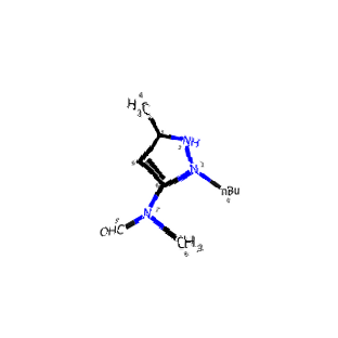 CCCCN1NC(C)C=C1N(C)C=O